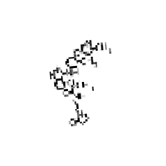 Cc1ccc(Oc2ccc(Nc3ncnc4cccc(O[C@H](C)C(=O)NCCCN5CCCC5=O)c34)cc2C)cn1